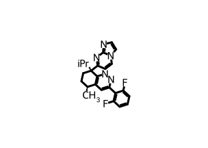 CC(C)[C@]1(c2ccn3ccnc3n2)CC[C@H](C)c2cc(-c3c(F)cccc3F)nnc21